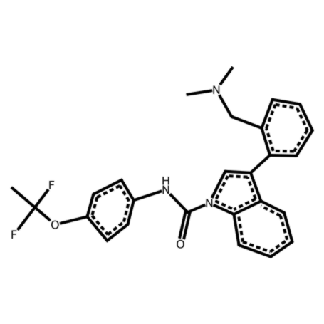 CN(C)Cc1ccccc1-c1cn(C(=O)Nc2ccc(OC(C)(F)F)cc2)c2ccccc12